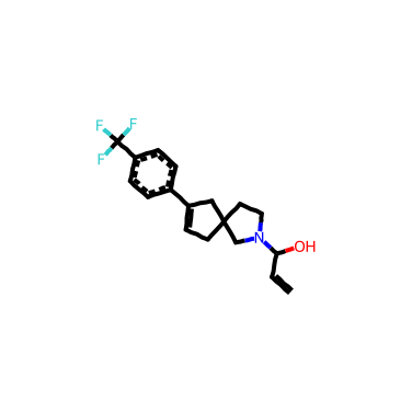 C=CC(O)N1CCC2(CC=C(c3ccc(C(F)(F)F)cc3)C2)C1